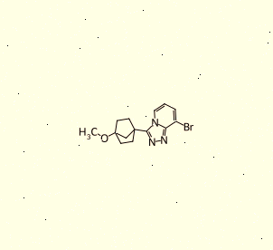 COC12CCC(c3nnc4c(Br)cccn34)(CC1)C2